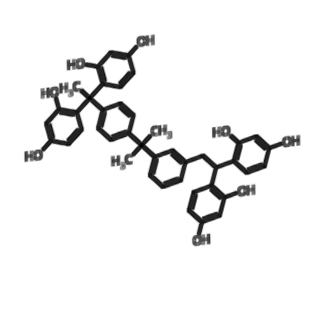 CC(C)(c1ccc(C(C)(c2ccc(O)cc2O)c2ccc(O)cc2O)cc1)c1cccc(CC(c2ccc(O)cc2O)c2ccc(O)cc2O)c1